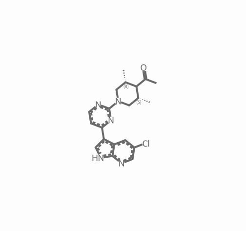 CC(=O)C1[C@H](C)CN(c2nccc(-c3c[nH]c4ncc(Cl)cc34)n2)C[C@@H]1C